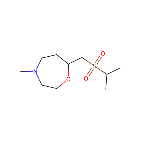 CC(C)S(=O)(=O)CC1CCN(C)CCO1